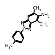 Cc1ccc(-n2nc3cc(C)c(N)c(C)c3n2)cc1